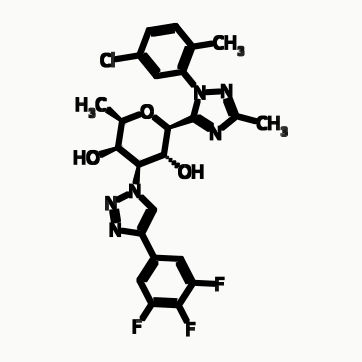 Cc1nc([C@@H]2O[C@H](C)[C@H](O)[C@H](n3cc(-c4cc(F)c(F)c(F)c4)nn3)[C@H]2O)n(-c2cc(Cl)ccc2C)n1